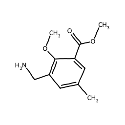 COC(=O)c1cc(C)cc(CN)c1OC